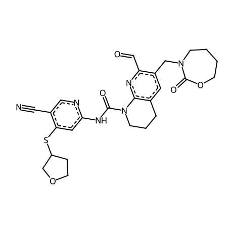 N#Cc1cnc(NC(=O)N2CCCc3cc(CN4CCCCOC4=O)c(C=O)nc32)cc1SC1CCOC1